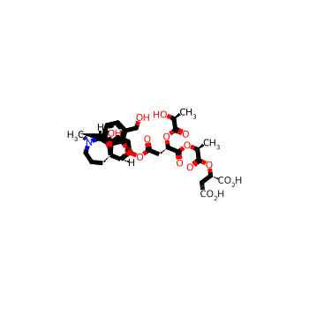 C[C@H](O)C(=O)O[C@@H](CC(=O)OC1=CC[C@@]2(O)[C@H]3Cc4ccc(CO)c5c4[C@@]2(CCCN3C)[C@H]1O5)C(=O)O[C@@H](C)C(=O)O[C@@H](CC(=O)O)C(=O)O